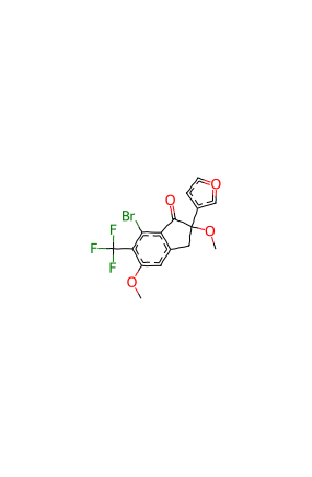 COc1cc2c(c(Br)c1C(F)(F)F)C(=O)C(OC)(c1ccoc1)C2